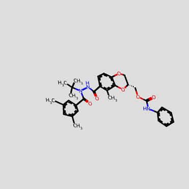 Cc1cc(C)cc(C(=O)N(NC(=O)c2ccc3c(c2C)O[C@@H](COC(=O)Nc2ccccc2)CO3)C(C)(C)C)c1